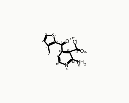 Cc1ccsc1C(=O)c1ccnc(N)c1C(=O)Cl